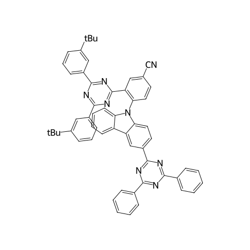 CC(C)(C)c1cccc(-c2nc(-c3cccc(C(C)(C)C)c3)nc(-c3cc(C#N)ccc3-n3c4ccccc4c4cc(-c5nc(-c6ccccc6)nc(-c6ccccc6)n5)ccc43)n2)c1